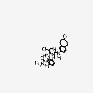 NC(=O)[C@H]1[C@@H](Nc2nc(Nc3ccc4c(c3)CCC(=O)CC4)ncc2Cl)[C@@H]2C=C[C@H]1C2